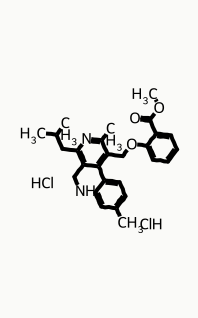 COC(=O)c1ccccc1OCc1c(C)nc(CC(C)C)c(CN)c1-c1ccc(C)cc1.Cl.Cl